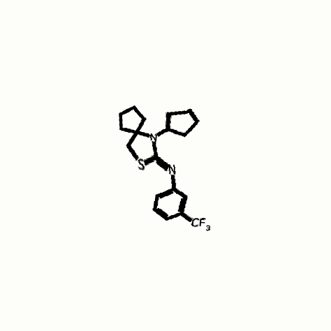 FC(F)(F)c1cccc(N=C2SCC3(CCCC3)N2C2CCCC2)c1